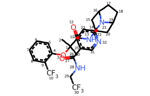 CC(C)(Oc1ccccc1C(F)(F)F)C(=O)NC1CC2CCC(C1)N2c1ccc(C(=O)NCC(F)(F)F)cn1